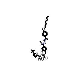 C=N/C(=N\C=C(/C)c1ccc(OCCCCCCC)cc1)c1ccc(C[C@H](NC(=O)c2ccc(C(C)(C)C)s2)C(=O)O)cc1